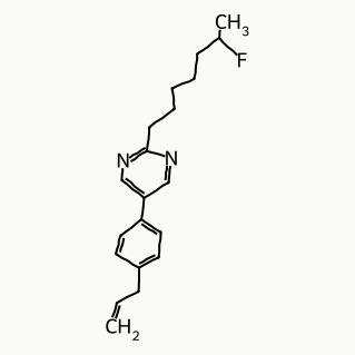 C=CCc1ccc(-c2cnc(CCCCCC(C)F)nc2)cc1